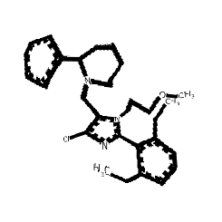 CCc1cccc(CC)c1-c1nc(Cl)c(CN2CCCCC2c2ccccc2)n1CCOC